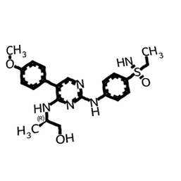 CCS(=N)(=O)c1ccc(Nc2ncc(-c3ccc(OC)cc3)c(N[C@H](C)CO)n2)cc1